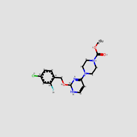 CC(C)(C)OC(=O)N1CCN(C2=NC(OCc3ccc(Cl)cc3F)NC=C2)CC1